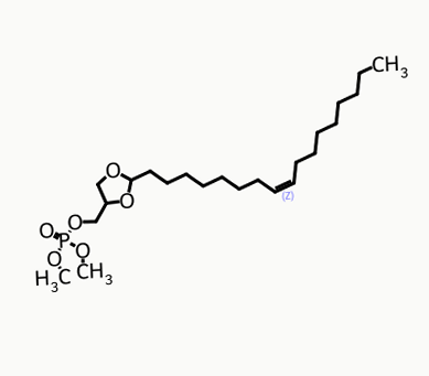 CCCCCCCC/C=C\CCCCCCCC1OCC(COP(=O)(OC)OC)O1